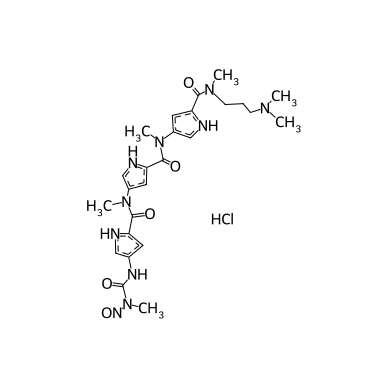 CN(C)CCCN(C)C(=O)c1cc(N(C)C(=O)c2cc(N(C)C(=O)c3cc(NC(=O)N(C)N=O)c[nH]3)c[nH]2)c[nH]1.Cl